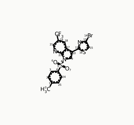 Cc1ccc(S(=O)(=O)n2cc(-c3nc(Br)cs3)c3cc(C(F)(F)F)cnc32)cc1